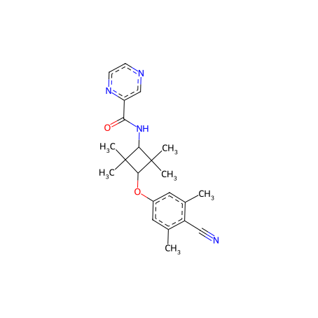 Cc1cc(OC2C(C)(C)C(NC(=O)c3cnccn3)C2(C)C)cc(C)c1C#N